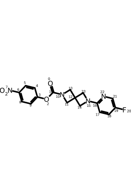 O=C(Oc1ccc([N+](=O)[O-])cc1)N1CC2(C1)CN(c1ccc(F)cn1)C2